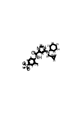 Cc1cc(S(C)(=O)=O)ccc1NC(=O)c1cc(N(CC2CC2)C2CCCCC2)ncn1